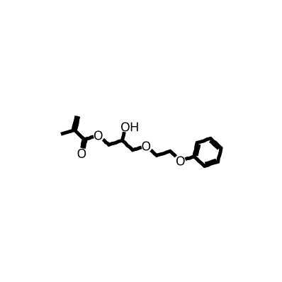 C=C(C)C(=O)OCC(O)COCCOc1ccccc1